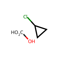 ClC1CC1.O=C(O)O